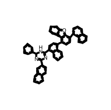 c1ccc(C2N=C(c3ccc4ccccc4c3)N=C(c3ccc(-c4ccc(-c5cccc6ccccc56)c5oc6ccccc6c45)c4ccccc34)N2)cc1